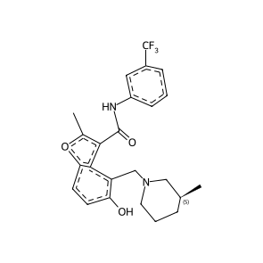 Cc1oc2ccc(O)c(CN3CCC[C@H](C)C3)c2c1C(=O)Nc1cccc(C(F)(F)F)c1